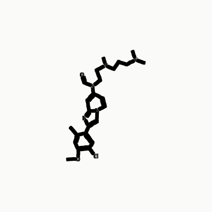 COc1cc(C)c(-c2cn3ccc(N(C=O)CCN(C)CCCN(C)C)cc3n2)cc1Cl